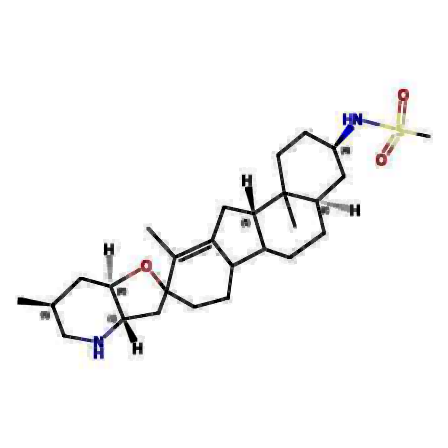 CC1=C2C[C@H]3C(CC[C@@H]4C[C@H](NS(C)(=O)=O)CCC43C)C2CCC12C[C@@H]1NC[C@@H](C)C[C@H]1O2